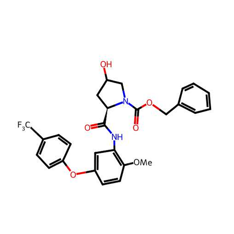 COc1ccc(Oc2ccc(C(F)(F)F)cc2)cc1NC(=O)[C@H]1CC(O)CN1C(=O)OCc1ccccc1